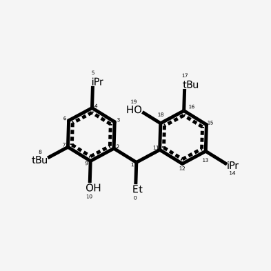 CCC(c1cc(C(C)C)cc(C(C)(C)C)c1O)c1cc(C(C)C)cc(C(C)(C)C)c1O